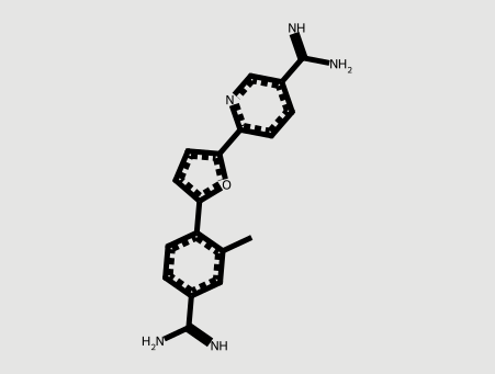 Cc1cc(C(=N)N)ccc1-c1ccc(-c2ccc(C(=N)N)cn2)o1